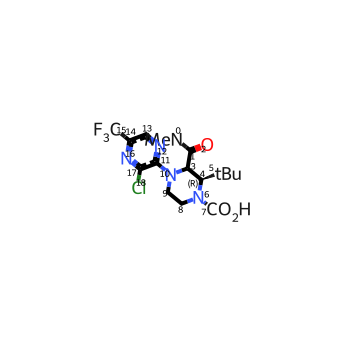 CNC(=O)C1[C@@H](C(C)(C)C)N(C(=O)O)CCN1c1ncc(C(F)(F)F)nc1Cl